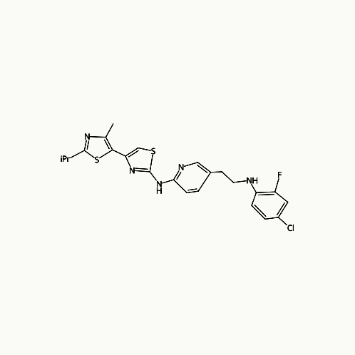 Cc1nc(C(C)C)sc1-c1csc(Nc2ccc(CCNc3ccc(Cl)cc3F)cn2)n1